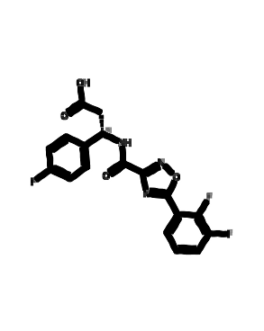 O=C(O)C[C@H](NC(=O)c1noc(-c2cccc(F)c2F)n1)c1ccc(F)cc1